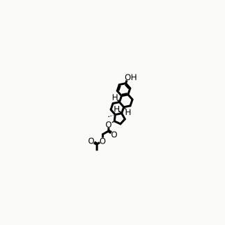 CC(=O)OCC(=O)O[C@H]1CC[C@H]2[C@@H]3CCc4cc(O)ccc4[C@H]3CC[C@]12C